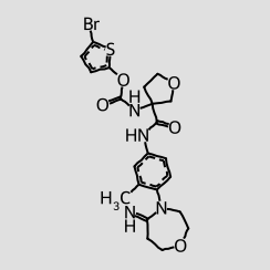 Cc1cc(NC(=O)C2(NC(=O)Oc3ccc(Br)s3)CCOC2)ccc1N1CCOCCC1=N